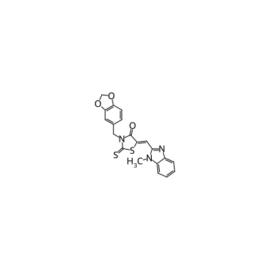 Cn1c(C=C2SC(=S)N(Cc3ccc4c(c3)OCO4)C2=O)nc2ccccc21